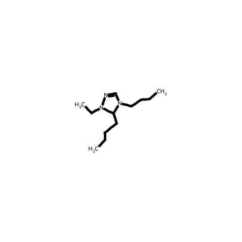 CCCCC1N(CCCC)C=NN1CC